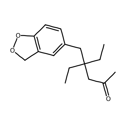 CCC(CC)(CC(C)=O)Cc1ccc2c(c1)COO2